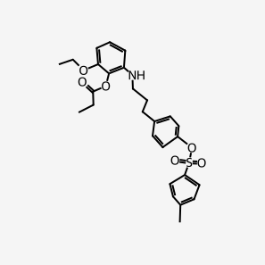 CCOc1cccc(NCCCc2ccc(OS(=O)(=O)c3ccc(C)cc3)cc2)c1OC(=O)CC